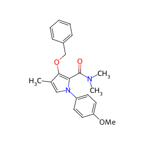 COc1ccc(-n2cc(C)c(OCc3ccccc3)c2C(=O)N(C)C)cc1